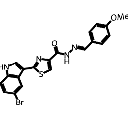 COc1ccc(C=NNC(=O)c2csc(-c3c[nH]c4ccc(Br)cc34)n2)cc1